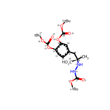 CC(C)(C)OC(=O)NN[C@@](C)(Cc1ccc(OC(=O)OC(C)(C)C)c(OC(=O)OC(C)(C)C)c1)C(=O)O